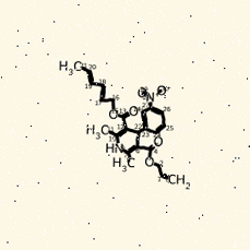 C=CCOC(=O)C1=C(C)NC(C)=C(C(=O)OCC=CC=CC)C1c1cccc([N+](=O)[O-])c1